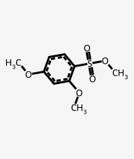 COc1ccc(S(=O)(=O)OC)c(OC)c1